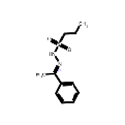 CCCS(=O)(=O)N/N=C(\C)c1ccccc1